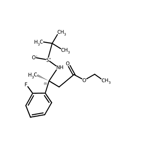 CCOC(=O)C[C@](C)(N[S+]([O-])C(C)(C)C)c1ccccc1F